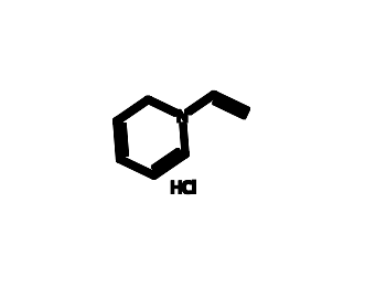 C=CN1C=CC=CC1.Cl